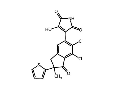 CC1(c2cccs2)Cc2cc(C3=C(O)C(=O)NC3=O)c(Cl)c(Cl)c2C1=O